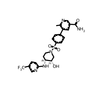 Cc1ncc(C(N)=O)cc1-c1ccc(S(=O)(=O)N2CC[C@@H](Nc3ccc(C(F)(F)F)cn3)[C@@H](O)C2)cc1